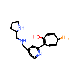 OC1=C(c2cc(CNCC3CCCN3)ccn2)C=CC(P)C=C1